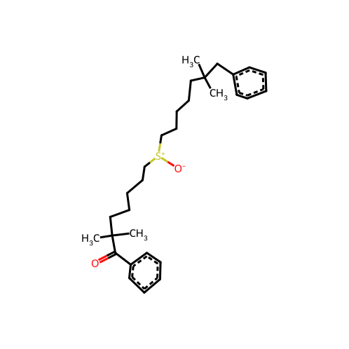 CC(C)(CCCCC[S+]([O-])CCCCCC(C)(C)C(=O)c1ccccc1)Cc1ccccc1